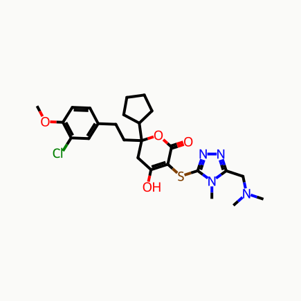 COc1ccc(CCC2(C3CCCC3)CC(O)=C(Sc3nnc(CN(C)C)n3C)C(=O)O2)cc1Cl